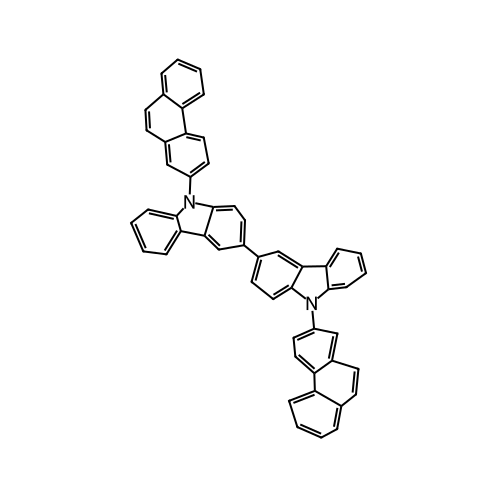 c1ccc2c(c1)ccc1cc(-n3c4ccccc4c4cc(-c5ccc6c(c5)c5ccccc5n6-c5ccc6c(ccc7ccccc76)c5)ccc43)ccc12